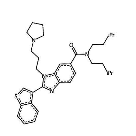 CC(C)CCN(CCC(C)C)C(=O)c1ccc2nc(-c3csc4ccccc34)n(CCCN3CCCC3)c2c1